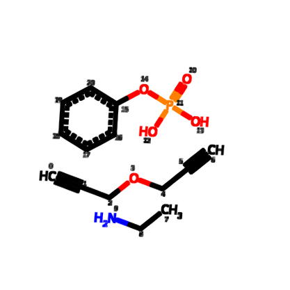 C#CCOCC#C.CCN.O=P(O)(O)Oc1ccccc1